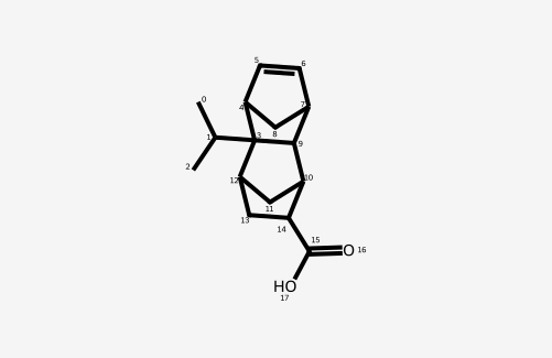 CC(C)C12C3C=CC(C3)C1C1CC2CC1C(=O)O